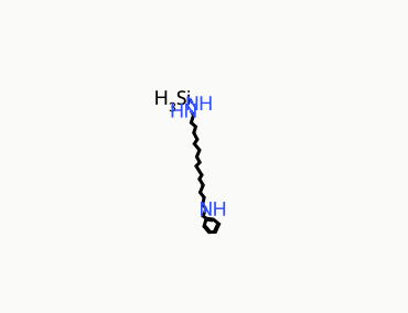 [SiH3]NNCCCCCCCCCCCCCCCCNCc1ccccc1